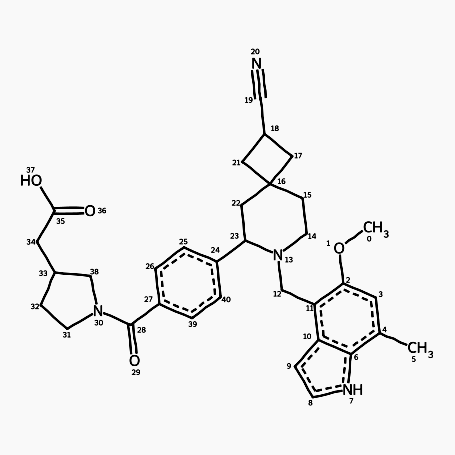 COc1cc(C)c2[nH]ccc2c1CN1CCC2(CC(C#N)C2)CC1c1ccc(C(=O)N2CCC(CC(=O)O)C2)cc1